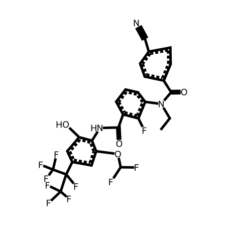 CCN(C(=O)c1ccc(C#N)cc1)c1cccc(C(=O)Nc2c(O)cc(C(F)(C(F)(F)F)C(F)(F)F)cc2OC(F)F)c1F